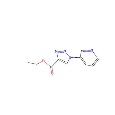 CCOC(=O)c1cn(-c2cccnc2)nn1